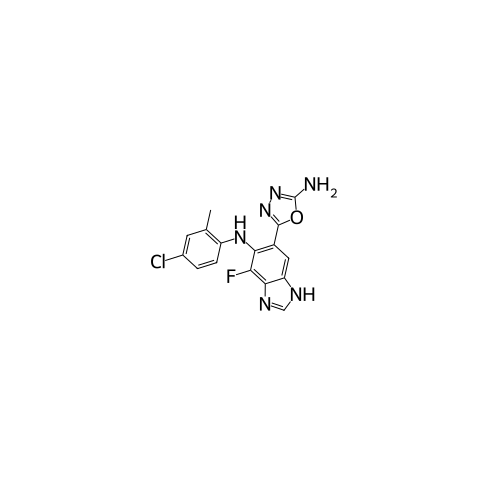 Cc1cc(Cl)ccc1Nc1c(-c2nnc(N)o2)cc2[nH]cnc2c1F